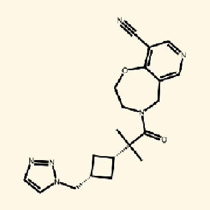 CC(C)(C(=O)N1CCOc2c(C#N)cncc2C1)[C@H]1C[C@@H](Cn2ccnn2)C1